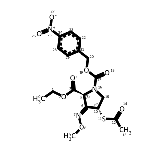 CCOC(=O)[C@@H]1C(=NOC)[C@@H](SC(C)=O)CN1C(=O)OCc1ccc([N+](=O)[O-])cc1